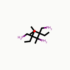 CCC(CC)(CP)C(C)(P)C(CC)(CC)CP